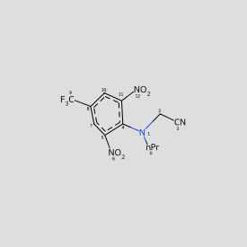 CCCN(CC#N)c1c([N+](=O)[O-])cc(C(F)(F)F)cc1[N+](=O)[O-]